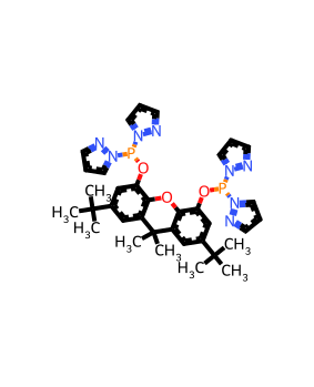 CC(C)(C)c1cc(OP(n2cccn2)n2cccn2)c2c(c1)C(C)(C)c1cc(C(C)(C)C)cc(OP(n3cccn3)n3cccn3)c1O2